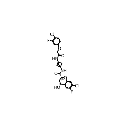 O=C(COc1ccc(Cl)c(F)c1)NC12CC(NC(=O)[C@H]3C[C@@H](O)c4cc(F)c(Cl)cc4O3)(C1)C2